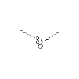 CCCCCCCCCOC(=O)C(C)=C(CCCCCCCCC)c1ccccc1